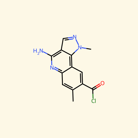 Cc1cc2nc(N)c3cnn(C)c3c2cc1C(=O)Cl